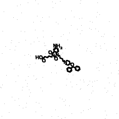 Nc1ccc2c(c1)c(=O)n(CCCCC(=O)O)c(=O)n2CCCCN1CCC(OC(c2ccccc2)c2ccccc2)CC1